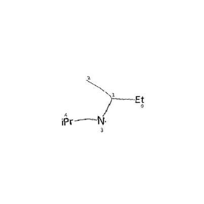 CCC(C)[N]C(C)C